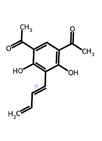 C=C/C=C/c1c(O)c(C(C)=O)cc(C(C)=O)c1O